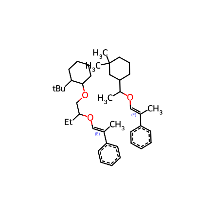 C/C(=C\OC(C)C1CCCC(C)(C)C1)c1ccccc1.CCC(COC1CCCCC1C(C)(C)C)O/C=C(\C)c1ccccc1